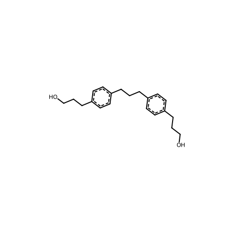 OCCCc1ccc(CCCc2ccc(CCCO)cc2)cc1